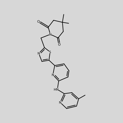 Cc1ccnc(Nc2cccc(-c3cnc(CN4C(=O)CC(C)(C)CC4=O)s3)n2)c1